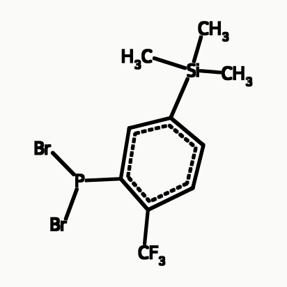 C[Si](C)(C)c1ccc(C(F)(F)F)c(P(Br)Br)c1